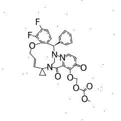 COC(=O)OCOc1c2n(ccc1=O)N1CN(C2=O)C2(/C=C/COc3c(ccc(F)c3F)[C@H]1c1ccccc1)CC2